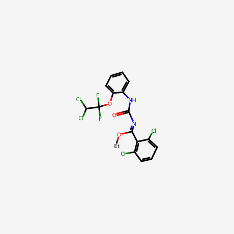 CCOC(=NC(=O)Nc1ccccc1OC(F)(F)C(Cl)Cl)c1c(Cl)cccc1Cl